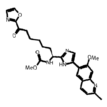 COC(=O)N[C@@H](CCCCCC(=O)c1ncco1)c1ncc(-c2cc3ccc(C)nc3cc2OC)[nH]1